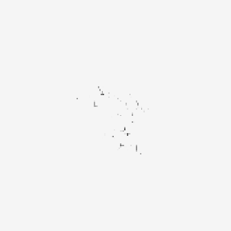 CC(=O)C(C(=O)O)C(C)(C)C.CC(=O)C(C(=O)O)C(C)(C)C.O=C1C=C(N2CC2)C(=O)C(N2CC2)=C1N1CC1